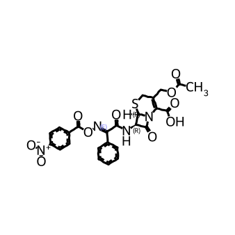 CC(=O)OCC1=C(C(=O)O)N2C(=O)[C@@H](NC(=O)/C(=N/OC(=O)c3ccc([N+](=O)[O-])cc3)c3ccccc3)[C@H]2SC1